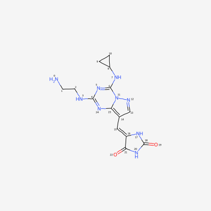 NCCNc1nc(NC2CC2)n2ncc(/C=C3\NC(=O)NC3=O)c2n1